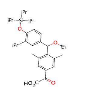 CCOC(c1ccc(O[Si](C(C)C)(C(C)C)C(C)C)c(C(C)C)c1)c1c(C)cc(C(=O)C(=O)O)cc1C